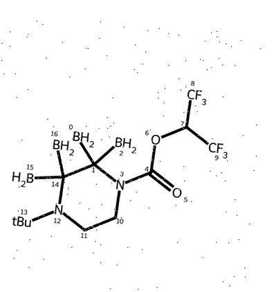 BC1(B)N(C(=O)OC(C(F)(F)F)C(F)(F)F)CCN(C(C)(C)C)C1(B)B